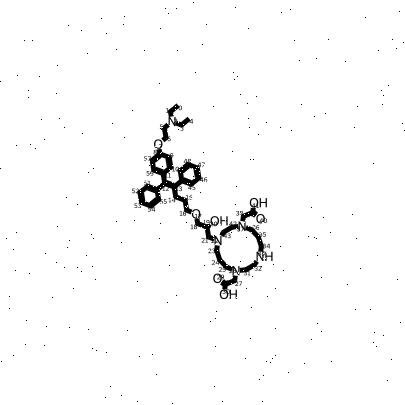 CCN(CC)CCOc1ccc(/C(=C(/CCCOCC(O)CN2CCCN(CC(=O)O)CCNCCCN(CC(=O)O)CC2)c2ccccc2)c2ccccc2)cc1